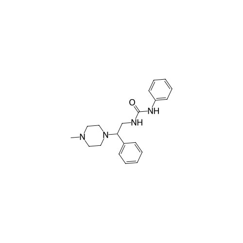 CN1CCN(C(CNC(=O)Nc2ccccc2)c2ccccc2)CC1